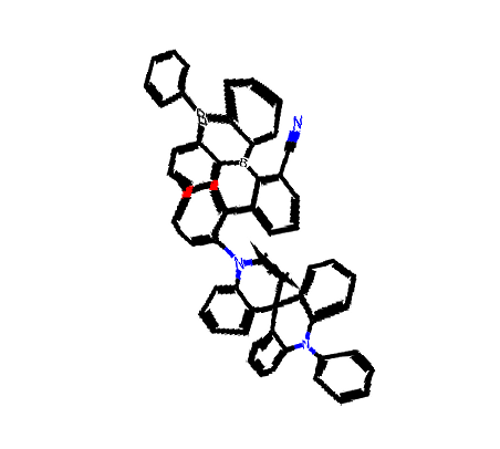 N#Cc1cccc(-c2ccccc2N2c3ccccc3C3(c4ccccc4N(c4ccccc4)c4ccccc43)c3ccccc32)c1B1c2ccccc2B(c2ccccc2)c2ccccc21